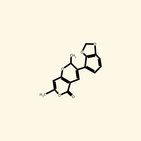 Cc1cc2c(c(=O)o1)C=C(c1cccc3c1OCO3)C(C)O2